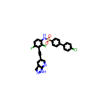 O=S(=O)(Nc1ccc(F)c(C#Cc2cnc3[nH]ncc3c2)c1F)c1ccc(-c2ccc(Cl)cc2)cc1